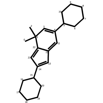 CC1(C)C=C(C2CCCCC2)C=C2C=C(C3CCCCC3)C=C21